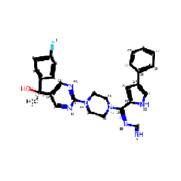 C[C@](O)(c1ccc(F)cc1)c1cnc(N2CCN(/C(=N/C=N)c3cc(-c4ccccc4)c[nH]3)CC2)nc1